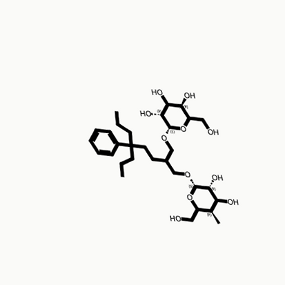 CCCC(CCC)(CCC(CO[C@H]1OC(CO)[C@H](C)C(O)[C@H]1O)CO[C@H]1OC(CO)[C@H](O)C(O)[C@H]1O)c1ccccc1